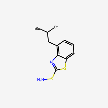 CCCCC(CC)Cc1cccc2sc(SN)nc12